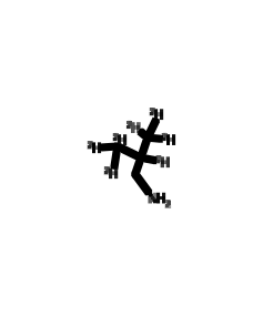 [2H]C([2H])([2H])C([2H])(CN)C([2H])([2H])[2H]